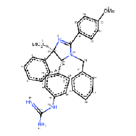 CCOC(=O)[C@]1(c2ccccc2)N=C(c2ccc(OC)cc2)N(Cc2ccccc2)[C@@H]1c1ccc(NC(=N)N)cc1